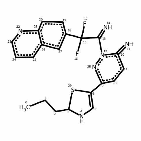 CCCC1NC=C(c2ccc(=N)n(C(=N)C(F)(F)c3ccc4ncccc4c3)n2)S1